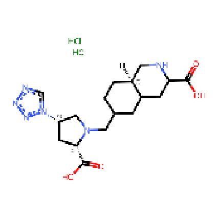 Cl.Cl.O=C(O)C1CC2CC(CN3C[C@@H](n4cnnn4)C[C@H]3C(=O)O)CC[C@H]2CN1